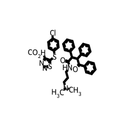 CN(C)CCCNC(=O)C(c1ccccc1)C(C(=O)c1ccccc1)c1ccccc1.O=C(O)c1nnsc1Sc1ccc(Cl)cc1